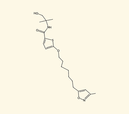 Cc1cc(CCCCCCCOc2ccc(C(=O)NC(C)(C)CO)s2)on1